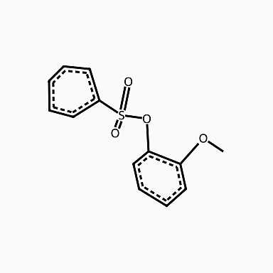 COc1ccccc1OS(=O)(=O)c1ccccc1